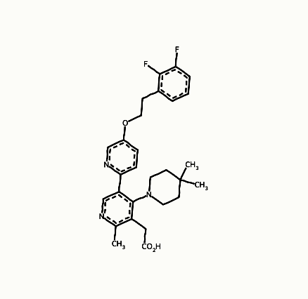 Cc1ncc(-c2ccc(OCCc3cccc(F)c3F)cn2)c(N2CCC(C)(C)CC2)c1CC(=O)O